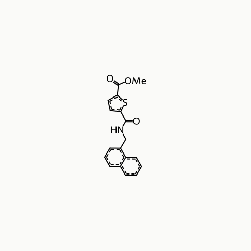 COC(=O)c1ccc(C(=O)NCc2cccc3ccccc23)s1